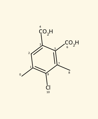 Cc1cc(C(=O)O)c(C(=O)O)c(C)c1Cl